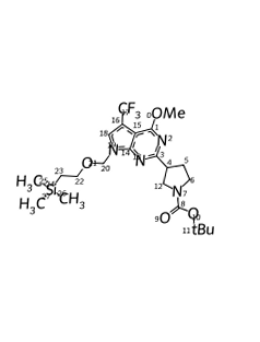 COc1nc(C2CCN(C(=O)OC(C)(C)C)C2)nc2c1c(C(F)(F)F)cn2COCC[Si](C)(C)C